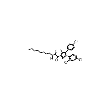 CCCCCCCCNC(=O)C(=O)c1nn(-c2ccc(Cl)cc2Cl)c(-c2ccc(Cl)cc2)c1C